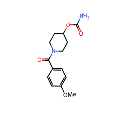 COc1ccc(C(=O)N2CCC(OC(N)=O)CC2)cc1